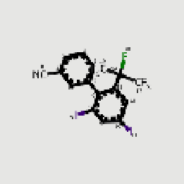 N#Cc1cccc(-c2c(I)[c]c(I)cc2C(F)(C(F)(F)F)C(F)(F)F)c1